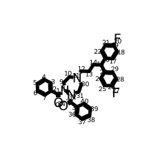 O=C(c1ccccc1)N1CCN(CCCC(c2ccc(F)cc2)c2ccc(F)cc2)CCN1C(=O)c1ccccc1